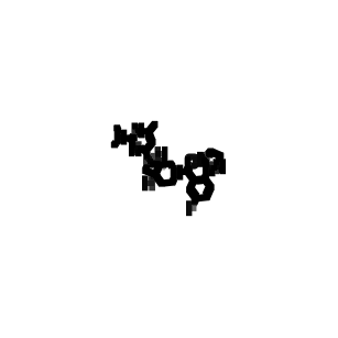 Cc1cc(N2C[C@@H]3CCN(C(=O)c4cc(F)ccc4-n4nccn4)C[C@@H]32)nc(N(C)C)n1